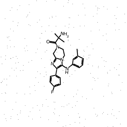 Cc1cccc(Nc2c(-c3ccc(F)cc3)nc3n2CCN(C(=O)C(C)(C)N)C3)c1